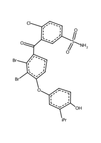 CC(C)c1cc(Oc2ccc(C(=O)c3cc(S(N)(=O)=O)ccc3Cl)c(Br)c2Br)ccc1O